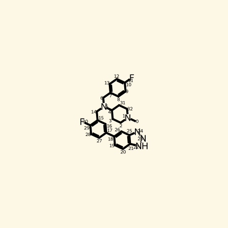 CN1CCC(N(Cc2ccc(F)cc2)Cc2cc(-c3ccc4[nH]nnc4c3)ccc2F)CC1